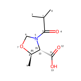 CC(C)C(=O)N1CO[C@H](C)[C@H]1C(=O)O